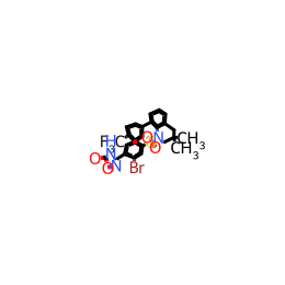 CC1(C)Cc2cccc(-c3ccc(C(F)(F)F)cc3)c2N(S(=O)(=O)c2ccc(-c3noc(=O)[nH]3)c(Br)c2)C1